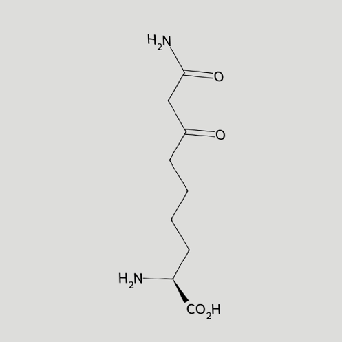 NC(=O)CC(=O)CCCC[C@H](N)C(=O)O